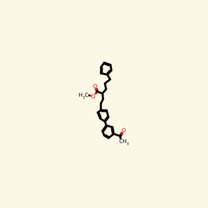 COC(=O)C(CCCc1ccccc1)CCc1ccc(-c2cccc(C(C)=O)c2)cc1